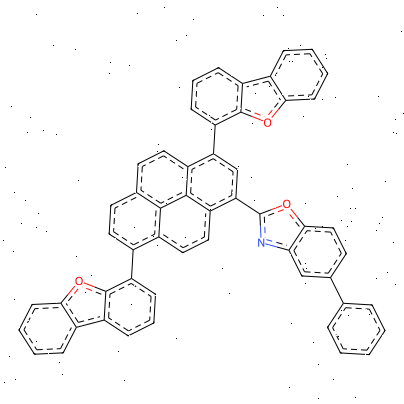 c1ccc(-c2ccc3oc(-c4cc(-c5cccc6c5oc5ccccc56)c5ccc6ccc(-c7cccc8c7oc7ccccc78)c7ccc4c5c67)nc3c2)cc1